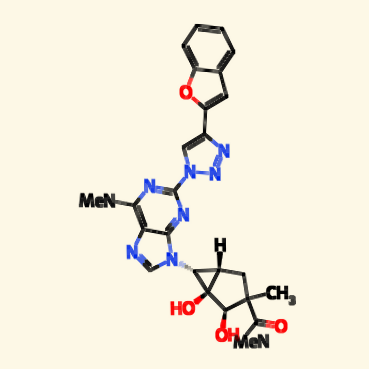 CNC(=O)C1(C)C[C@H]2[C@@H](n3cnc4c(NC)nc(-n5cc(-c6cc7ccccc7o6)nn5)nc43)[C@@]2(O)[C@@H]1O